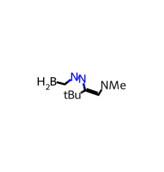 BC/N=N\C(=C/NC)C(C)(C)C